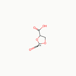 O=C[C@@H]1OCC(C(=O)O)O1